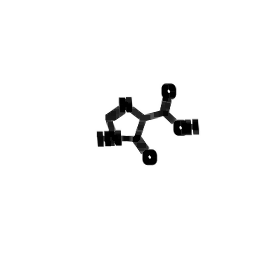 O=C(O)C1N=CNC1=O